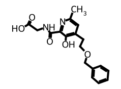 Cc1cc(CCOCc2ccccc2)c(O)c(C(=O)NCC(=O)O)n1